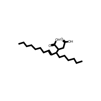 CCCCCCCC=CC(CCCCCC)C(CC(=O)O)C(=O)O